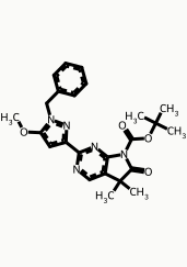 COc1cc(-c2ncc3c(n2)N(C(=O)OC(C)(C)C)C(=O)C3(C)C)nn1Cc1ccccc1